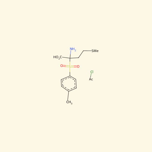 CC(=O)Cl.CSCCC(N)(C(=O)O)S(=O)(=O)c1ccc(C)cc1